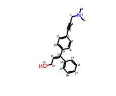 CN(C)CC#Cc1ccc(C(=CCO)c2ccccc2)cc1